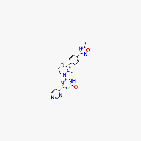 Cc1nc(-c2ccc([C@@H]3OCCN(c4nc(-c5ccncn5)cc(=O)[nH]4)C3C)cc2)no1